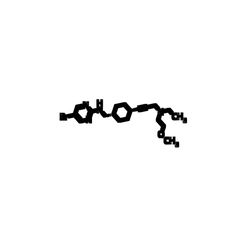 CCN(CC#C[C@H]1CC[C@H](CNc2ncc(Br)cn2)CC1)CCOC